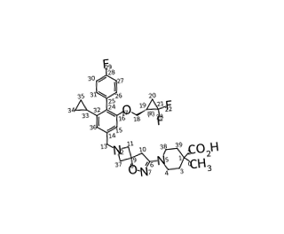 CC1(C(=O)O)CCN(C2=NOC3(C2)CN(Cc2cc(OC[C@H]4CC4(F)F)c(-c4ccc(F)cc4)c(C4CC4)c2)C3)CC1